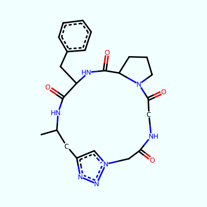 CC1Cc2cn(nn2)CC(=O)NCC(=O)N2CCCC2C(=O)NC(Cc2ccccc2)C(=O)N1